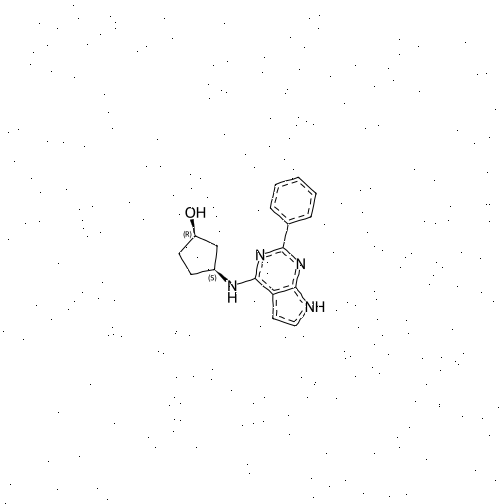 O[C@@H]1CC[C@H](Nc2nc(-c3ccccc3)nc3[nH]ccc23)C1